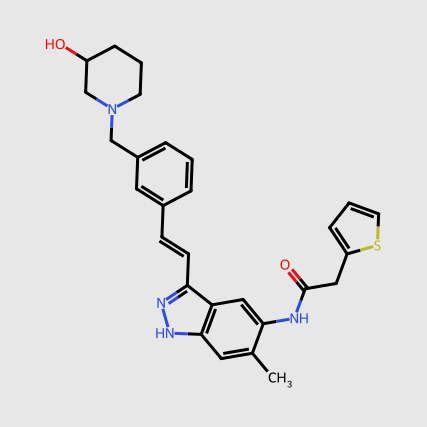 Cc1cc2[nH]nc(C=Cc3cccc(CN4CCCC(O)C4)c3)c2cc1NC(=O)Cc1cccs1